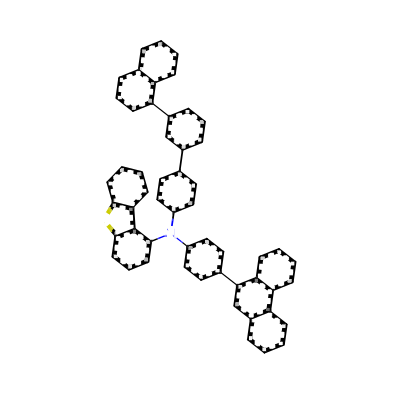 c1cc(-c2ccc(N(c3ccc(-c4cc5ccccc5c5ccccc45)cc3)c3cccc4sc5ccccc5c34)cc2)cc(-c2cccc3ccccc23)c1